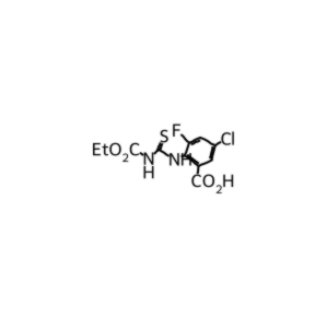 CCOC(=O)NC(=S)Nc1c(F)cc(Cl)cc1C(=O)O